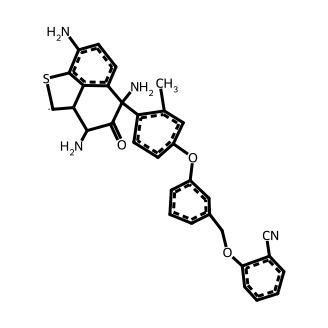 Cc1cc(Oc2cccc(COc3ccccc3C#N)c2)ccc1C1(N)C(=O)C(N)C2[CH]Sc3c(N)ccc1c32